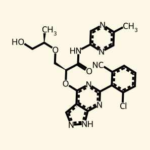 Cc1cnc(NC(=O)[C@H](CO[C@H](C)CO)Oc2nc(-c3c(Cl)cccc3C#N)nc3[nH]ncc23)cn1